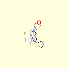 CC(N)(Cc1cc(N2CCOCC2)nc(Cl)n1)c1cccnc1